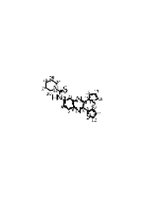 S=C(Nc1ccc2nc(-c3cccs3)c(-c3cccs3)nc2c1)N1CCCCC1